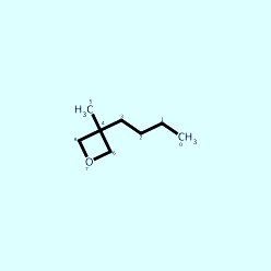 CCCCC1(C)COC1